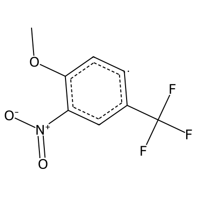 COc1c[c]c(C(F)(F)F)cc1[N+](=O)[O-]